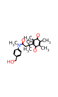 CC1=C(C)C(=O)C(C(C)(C)CC(=O)N(C)c2ccc(CO)cc2)=C(C)C1=O